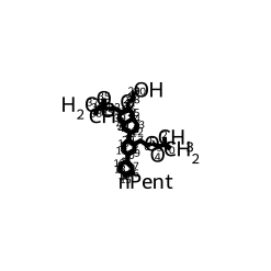 C=C(C)C(=O)OCCc1cc(-c2ccc(CCCCC)cc2)ccc1-c1ccc2cc(OCCO)c(COC(=O)C(=C)C)cc2c1